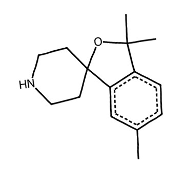 Cc1ccc2c(c1)C1(CCNCC1)OC2(C)C